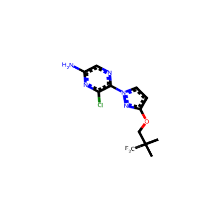 CC(C)(COc1ccn(-c2ncc(N)nc2Cl)n1)C(F)(F)F